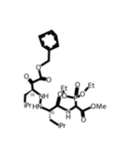 CCOP(=O)(OCC)C(NC(=O)[C@H](CC(C)C)NN[C@@H](CC(C)C)C(=O)C(=O)OCc1ccccc1)C(=O)OC